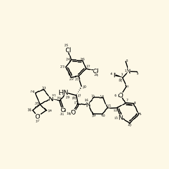 CN(C)[C@H](I)COc1cccnc1C1CCN(C(=O)[C@@H](Cc2ccc(Cl)cc2Cl)NC(=O)N2CCC23COC3)CC1